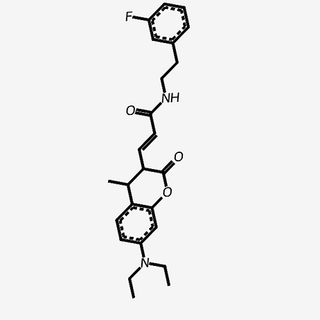 CCN(CC)c1ccc2c(c1)OC(=O)C(C=CC(=O)NCCc1cccc(F)c1)C2C